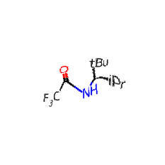 CC(C)[C@@H](NC(=O)C(F)(F)F)C(C)(C)C